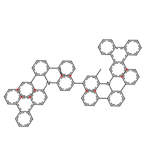 Cc1cc(-c2ccc(N(c3ccc4c5ccccc5c5ccccc5c4c3)c3c(-c4ccccc4)cccc3-c3ccccc3)c(C)c2)ccc1N(c1ccc2c3ccccc3c3ccccc3c2c1)c1c(-c2ccccc2)cccc1-c1ccccc1